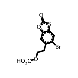 O=C(O)OCCc1cc2oc(=O)sc2cc1Br